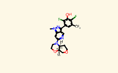 Cn1nc(-c2cc(C(F)(F)F)c(F)c(O)c2F)c2cnc(N3CCO[C@H]4COCC[C@@H]43)cc21